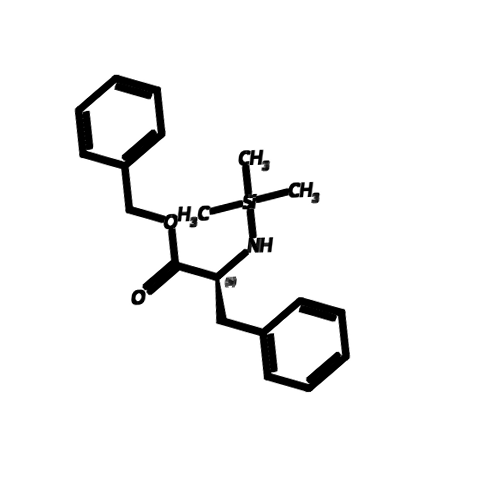 C[Si](C)(C)N[C@@H](Cc1ccccc1)C(=O)OCc1ccccc1